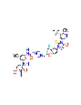 C[C@@H]1CN(CC(=O)Nc2cc(C#N)cc(NC3CCC(=O)NC3=O)c2)[C@H](C)CN1CCOc1ccc(N2C(=S)N(c3cnc(C#N)c(C(F)(F)F)c3)C(=O)C2(C)C)cc1C(C)(F)F